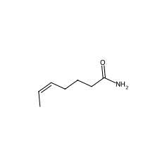 C/C=C\CCCC(N)=O